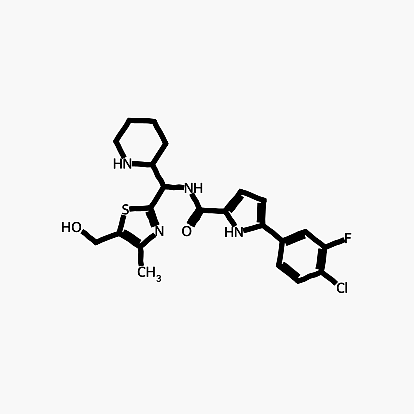 Cc1nc(C(NC(=O)c2ccc(-c3ccc(Cl)c(F)c3)[nH]2)C2CCCCN2)sc1CO